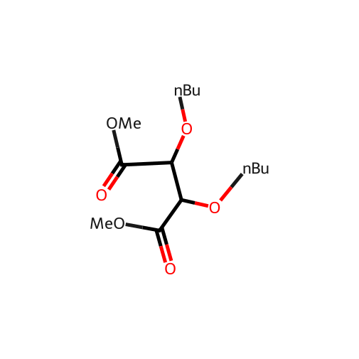 CCCCOC(C(=O)OC)C(OCCCC)C(=O)OC